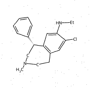 CCNc1cc2c(cc1Cl)CCN(C)C[C@@H]2c1ccccc1